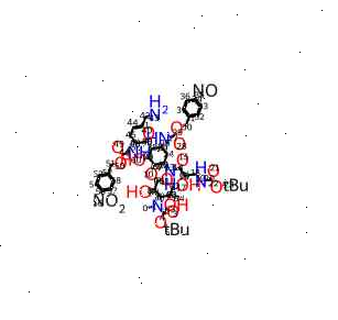 CN(C(=O)OC(C)(C)C)[C@@H]1[C@@H](O)[C@@H](O[C@H]2[C@H](NC(=O)[C@H](O)CNC(=O)OC(C)(C)C)C[C@H](NC(=O)OCc3ccc(N=O)cc3)C([C@H]3OC(CN)=CC[C@H]3NC(=O)OCc3ccc([N+](=O)[O-])cc3)[C@@H]2O)OC[C@]1(C)O